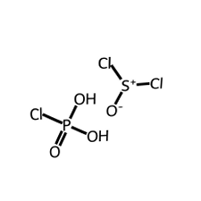 O=P(O)(O)Cl.[O-][S+](Cl)Cl